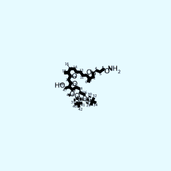 C=C1C[C@H](CCCON)OC1CCC1C[C@@H](C)C(=C)C(CC2OC(C[C@@H](CO[Si](C)(C)C(C)(C)C)O[Si](C)(C)C(C)(C)C)[C@H](OC)C2CO)O1